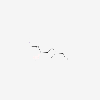 CCC1CC(C(O)C=CI)C1